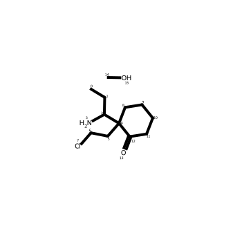 CCC(N)C1(CCCl)CCCCC1=O.CO